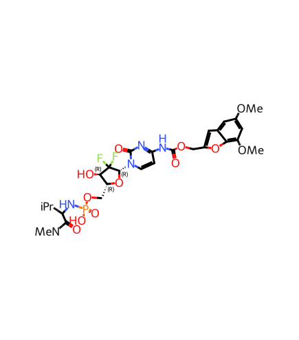 CNC(=O)C(NP(=O)(O)OC[C@H]1O[C@@H](n2ccc(NC(=O)OCc3cc4cc(OC)cc(OC)c4o3)nc2=O)C(F)(F)[C@@H]1O)C(C)C